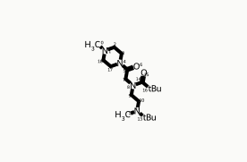 CN1CCN(C(=O)CN(CCN(C)C(C)(C)C)C(=O)C(C)(C)C)CC1